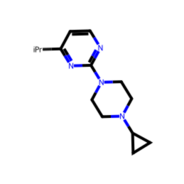 CC(C)c1ccnc(N2CCN(C3CC3)CC2)n1